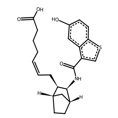 O=C(O)CCC/C=C\C[C@@H]1[C@H]2CC[C@H](C2)[C@@H]1NC(=O)c1csc2ccc(O)cc12